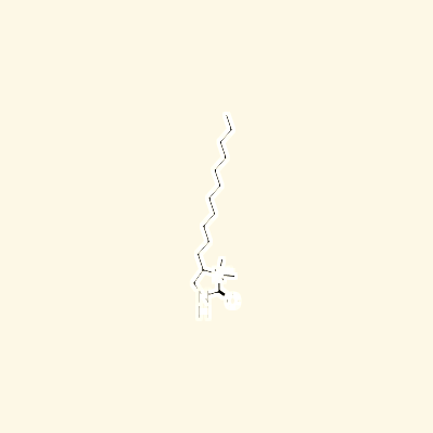 CCCCCCCCCCCC1CNC(=O)[N+]1(C)C